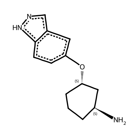 N[C@H]1CCC[C@H](Oc2ccc3[nH]ncc3c2)C1